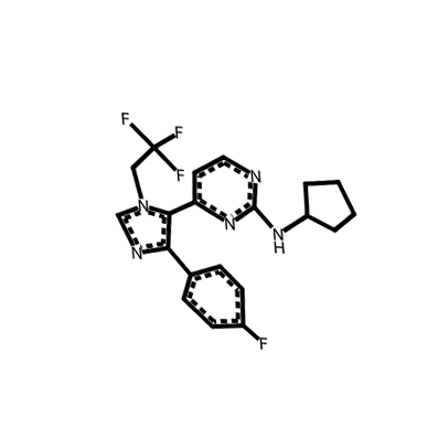 Fc1ccc(-c2ncn(CC(F)(F)F)c2-c2ccnc(NC3CCCC3)n2)cc1